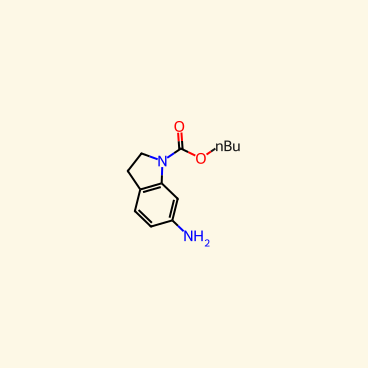 CCCCOC(=O)N1CCc2ccc(N)cc21